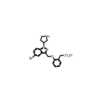 CCOC(=O)Cc1ccccc1OCc1nn(C2CCNC2)c2ccc(Br)cc12